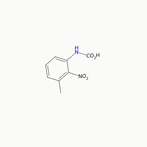 Cc1cccc(NC(=O)O)c1[N+](=O)[O-]